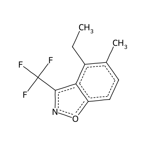 CCc1c(C)ccc2onc(C(F)(F)F)c12